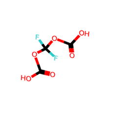 O=C(O)OC(F)(F)OC(=O)O